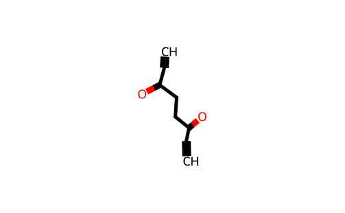 C#CC(=O)CCC(=O)C#C